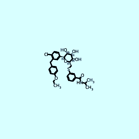 CCOc1ccc(Cc2cc([C@@H]3O[C@H](CSc4cccc(C(=O)NC(C)C)c4)[C@H](O)[C@@H](O)[C@H]3O)ccc2Cl)cc1